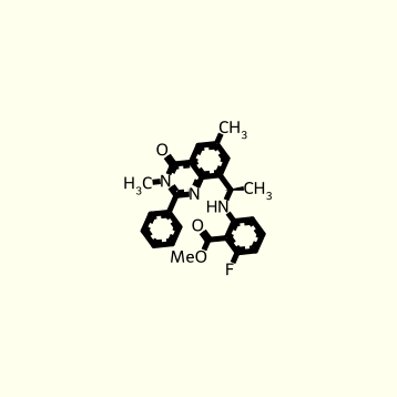 COC(=O)c1c(F)cccc1N[C@H](C)c1cc(C)cc2c(=O)n(C)c(-c3ccccc3)nc12